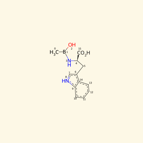 CB(O)N[C@H](Cc1c[nH]c2ccccc12)C(=O)O